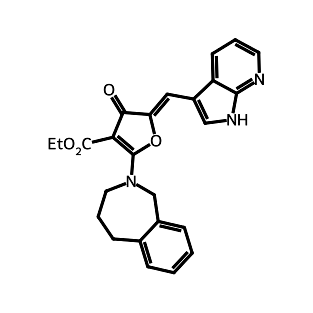 CCOC(=O)C1=C(N2CCCc3ccccc3C2)O/C(=C\c2c[nH]c3ncccc23)C1=O